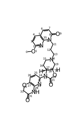 COc1ccc2ccc(=O)n(CCCN3CC[C@@H]4[C@@H](C3)OC(=O)N4c3ccc4c(n3)NC(=O)CO4)c2n1